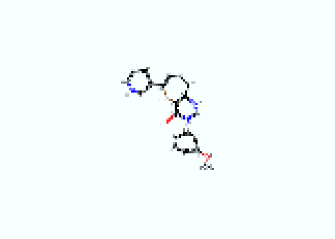 COc1cccc(-n2cnc3c(c2=O)SC(c2cccnc2)=CCC3)c1